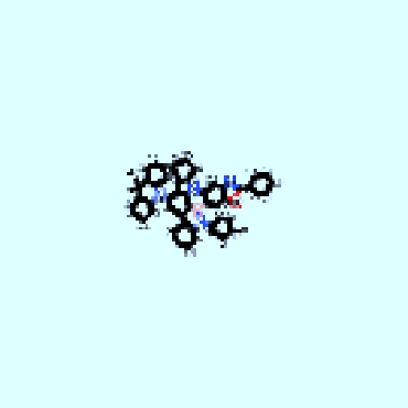 Cc1ccc(N2B3c4cc5oc(-c6ccccc6)nc5cc4-n4c5ccccc5c5c(N6c7ccccc7C(C)(C)c7ccccc76)cc(c3c54)-c3ccccc32)cc1